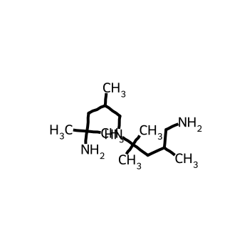 CC(CNC(C)(C)CC(C)CN)CC(C)(C)N